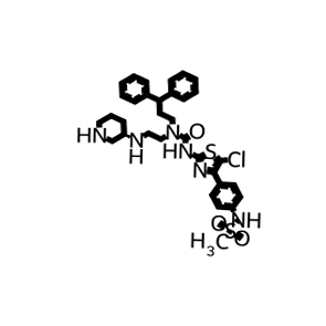 CS(=O)(=O)Nc1ccc(-c2nc(NC(=O)N(CCN[C@@H]3CCCNC3)CCC(c3ccccc3)c3ccccc3)sc2Cl)cc1